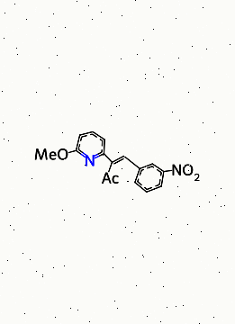 COc1cccc(C(=Cc2cccc([N+](=O)[O-])c2)C(C)=O)n1